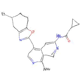 CCC1CCc2oc(-c3cnc(NC)c4cnc(NC(=O)C5CC5)cc34)nc2C1